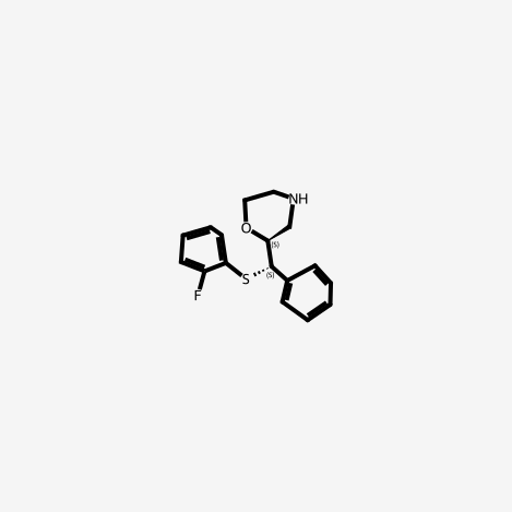 Fc1ccccc1S[C@@H](c1ccccc1)[C@@H]1CNCCO1